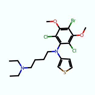 CCN(CC)CCCCN(c1ccsc1)c1c(Cl)c(OC)c(Br)c(OC)c1Cl